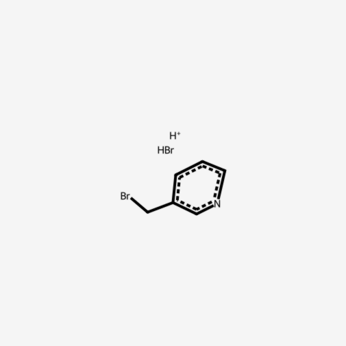 Br.BrCc1cccnc1.[H+]